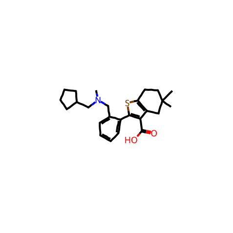 CN(Cc1ccccc1-c1sc2c(c1C(=O)O)CC(C)(C)CC2)CC1CCCC1